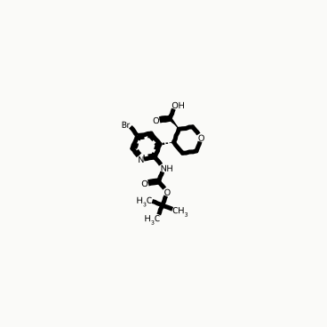 CC(C)(C)OC(=O)Nc1ncc(Br)cc1[C@H]1CCOC[C@@H]1C(=O)O